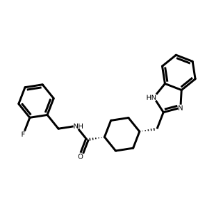 O=C(NCc1ccccc1F)[C@H]1CC[C@@H](Cc2nc3ccccc3[nH]2)CC1